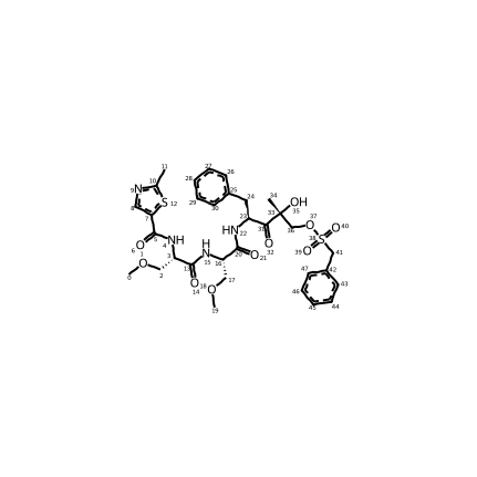 COC[C@H](NC(=O)c1cnc(C)s1)C(=O)N[C@@H](COC)C(=O)N[C@@H](Cc1ccccc1)C(=O)[C@](C)(O)COS(=O)(=O)Cc1ccccc1